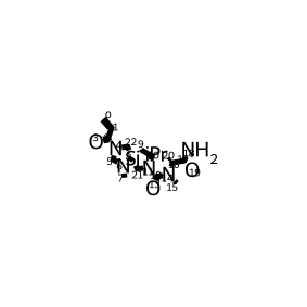 C=CC(=O)N1CN(C)[Si@@]2(CCN(C(=O)N(C)[C@H](C(N)=O)C(C)C)C2)C1